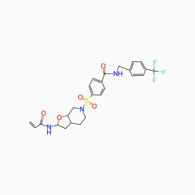 C=CC(=O)NC1CC2CCN(S(=O)(=O)c3ccc(C(=O)NCc4ccc(C(F)(F)F)cc4)cc3)CC2O1